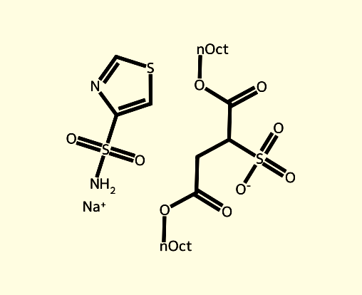 CCCCCCCCOC(=O)CC(C(=O)OCCCCCCCC)S(=O)(=O)[O-].NS(=O)(=O)c1cscn1.[Na+]